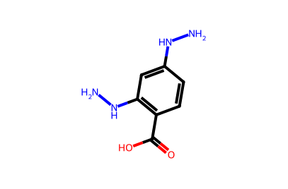 NNc1ccc(C(=O)O)c(NN)c1